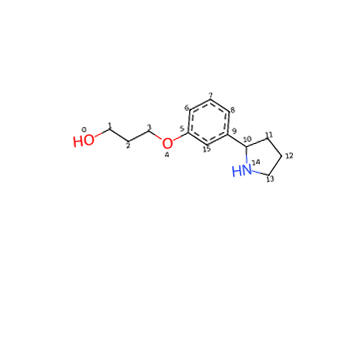 OCCCOc1cccc(C2CCCN2)c1